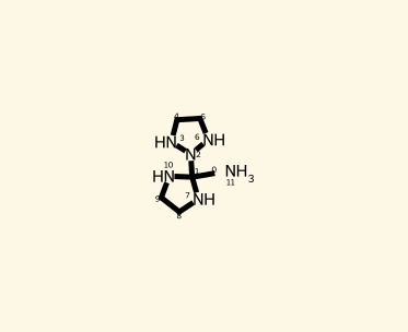 CC1(N2NCCN2)NCCN1.N